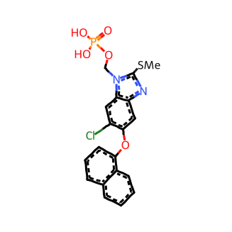 CSc1nc2cc(Oc3cccc4ccccc34)c(Cl)cc2n1COP(=O)(O)O